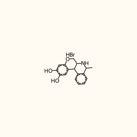 Br.CC1NC2COc3cc(O)c(O)cc3C2c2ccccc21